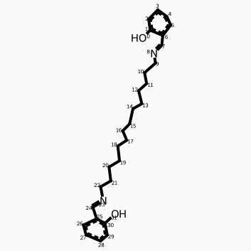 Oc1ccccc1C=NCCCCCCCCCCCCCCN=Cc1ccccc1O